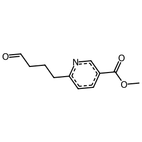 COC(=O)c1ccc(CCCC=O)nc1